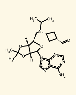 CC(C)N(C[C@H]1OC(n2cnc3c(N)ncnc32)[C@@H]2OC(C)(C)O[C@H]12)[C@H]1C[C@@H](C=O)C1